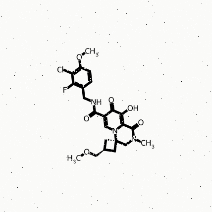 COC[C@H]1C[C@]2(CN(C)C(=O)c3c(O)c(=O)c(C(=O)NCc4ccc(OC)c(Cl)c4F)cn32)C1